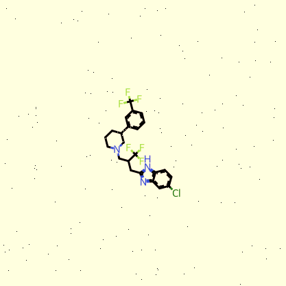 FC(F)(F)c1cccc(C2CCCN(CC(Cc3nc4cc(Cl)ccc4[nH]3)C(F)(F)F)C2)c1